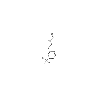 O=CNCCc1cccc(C(F)(F)F)c1